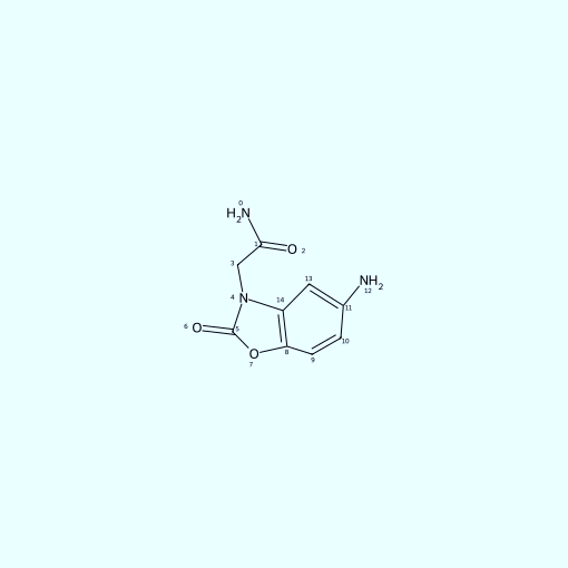 NC(=O)Cn1c(=O)oc2ccc(N)cc21